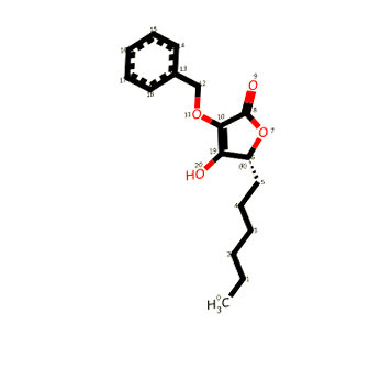 CCCCCC[C@H]1OC(=O)C(OCc2ccccc2)=C1O